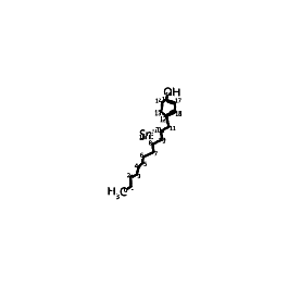 CCCCCCCCCCCCc1ccc(O)cc1.[Sn]